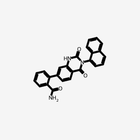 NC(=O)c1ccccc1-c1ccc2c(=O)n(-c3cccc4ccccc34)c(=O)[nH]c2c1